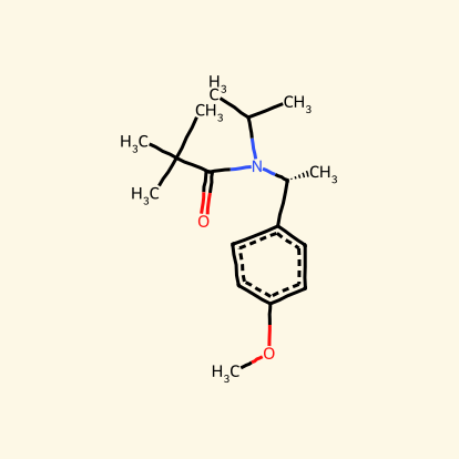 COc1ccc([C@@H](C)N(C(=O)C(C)(C)C)C(C)C)cc1